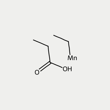 CCC(=O)O.C[CH2][Mn]